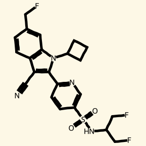 N#Cc1c(-c2ccc(S(=O)(=O)NC(CF)CF)cn2)n(C2CCC2)c2cc(CF)ccc12